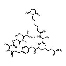 CC[C@H](C)[C@@H]([C@@H](CC)OC)N(C)C(=O)[C@@H](NC(=O)[C@H](C(C)C)N(C)C(=O)OCc1ccc(NC(=O)[C@H](CCCNC(N)=O)NC(=O)[C@@H](NC(=N)CCCCCN2C(=O)C=CC2=O)C(C)C)cc1)C(C)C